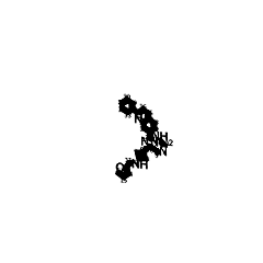 N[N+]12C=CN=CC1=C(C1CC(NCc3ccco3)C1)N=C2c1ccc2ccc(-c3ccccc3)nc2c1